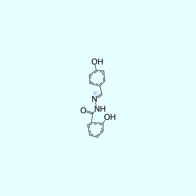 O=C(N/N=C/c1ccc(O)cc1)c1ccccc1O